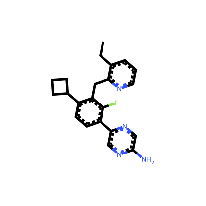 CCc1cccnc1Cc1c(C2CCC2)ccc(-c2cnc(N)cn2)c1F